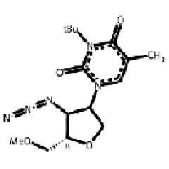 COC[C@H]1OCC(n2cc(C)c(=O)n(C(C)(C)C)c2=O)C1N=[N+]=[N-]